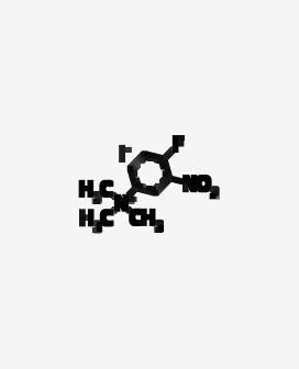 C[N+](C)(C)c1ccc(F)c([N+](=O)[O-])c1.[I-]